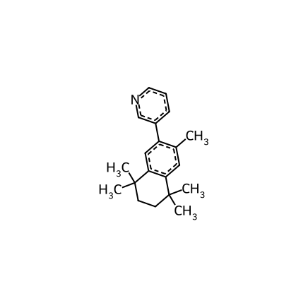 Cc1cc2c(cc1-c1cccnc1)C(C)(C)CCC2(C)C